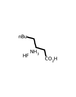 CCCCCCCC(=O)O.F.N